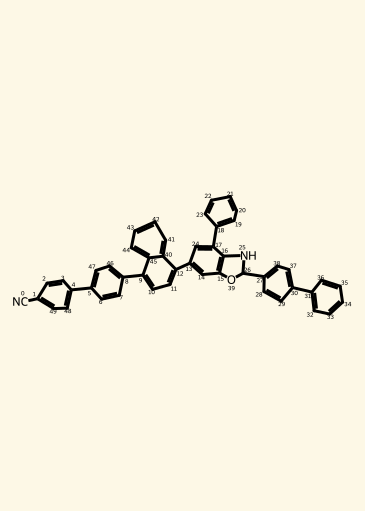 N#Cc1ccc(-c2ccc(-c3ccc(-c4cc5c(c(-c6ccccc6)c4)NC(c4ccc(-c6ccccc6)cc4)O5)c4ccccc34)cc2)cc1